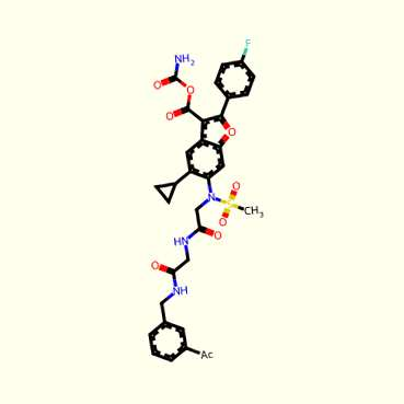 CC(=O)c1cccc(CNC(=O)CNC(=O)CN(c2cc3oc(-c4ccc(F)cc4)c(C(=O)OC(N)=O)c3cc2C2CC2)S(C)(=O)=O)c1